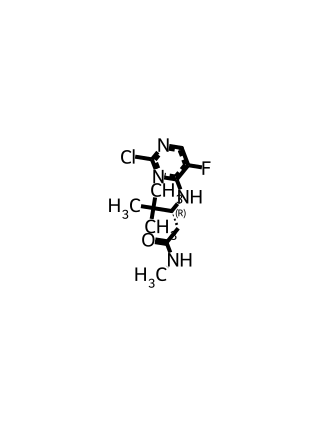 CNC(=O)C[C@@H](Nc1nc(Cl)ncc1F)C(C)(C)C